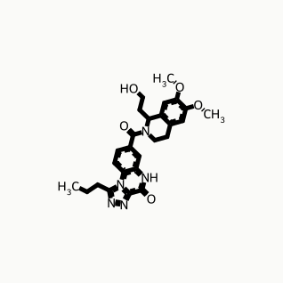 CCCc1nnc2c(=O)[nH]c3cc(C(=O)N4CCc5cc(OC)c(OC)cc5C4CCO)ccc3n12